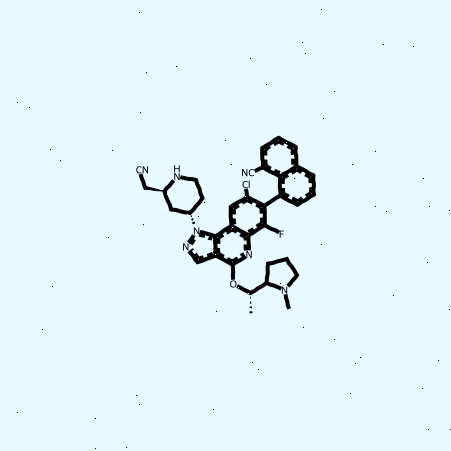 C[C@H](Oc1nc2c(F)c(-c3cccc4cccc(C#N)c34)c(Cl)cc2c2c1cnn2[C@H]1CCN[C@H](CC#N)C1)C1CCCN1C